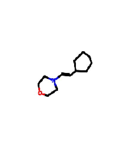 C(=C\N1CCOCC1)/C1CCCCC1